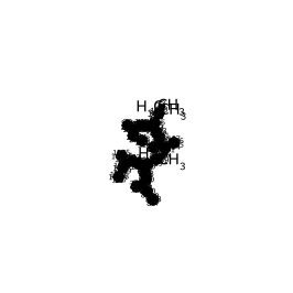 CC(C)(C)c1ccc(-c2cc3c4cc5ccc(N(c6ccccc6)c6cccc(-c7ccccc7)c6)cc5cc4n4c5cc6cc(N(c7ccccc7)c7cc(CC(C)(C)c8ccc(-c9cc%10c%11cc%12ccc(N(c%13ccccc%13)c%13ccc(-c%14ccccc%14)cc%13)cc%12cc%11n%11c%12cc%13cc(N(c%14ccccc%14)c%14ccc(-c%15ccccc%15)cc%14)ccc%13cc%12c(c9)c%10%11)cc8)cc(-c8ccccc8)c7)ccc6cc5c(c2)c34)cc1